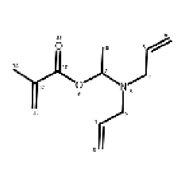 C=CCN(CC=C)C(C)OC(=O)C(=C)C